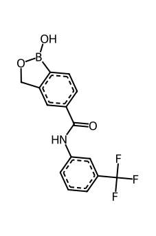 O=C(Nc1cccc(C(F)(F)F)c1)c1ccc2c(c1)COB2O